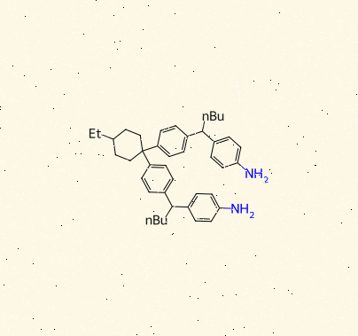 CCCCC(c1ccc(N)cc1)c1ccc(C2(c3ccc(C(CCCC)c4ccc(N)cc4)cc3)CCC(CC)CC2)cc1